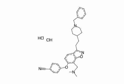 CN(C)Cc1c(Oc2ccc(C#N)cc2)ccc2c(CCC3CCN(Cc4ccccc4)CC3)noc12.Cl.Cl